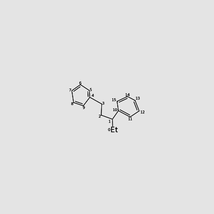 CCC(CCc1ccccc1)c1ccccc1